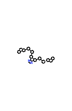 C1=CC(c2cccc(-c3ccc4c(c3)c3cc(-c5cccc(-c6cccc(-c7ccc8c(ccc9ccccc98)c7)c6)c5)ccc3c3nccnc43)c2)=C[C@H](c2ccc3c(ccc4ccccc43)c2)C1